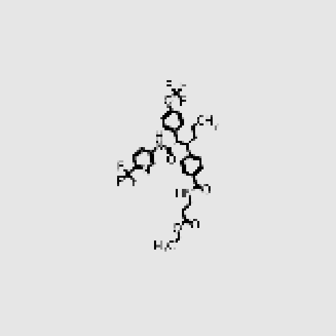 CCC[C@@H](c1ccc(C(=O)NCCC(=O)OCC)cc1)[C@H](C(=O)Nc1ccc(C(F)(F)F)nc1)c1ccc(OC(F)(F)F)cc1